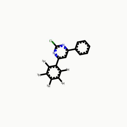 [2H]c1c([2H])c([2H])c(-c2cc(-c3ccccc3)nc(Cl)n2)c([2H])c1[2H]